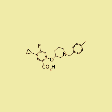 Cc1ccc(CN2CCCC(Oc3cc(F)c(C4CC4)cc3C(=O)O)C2)cc1